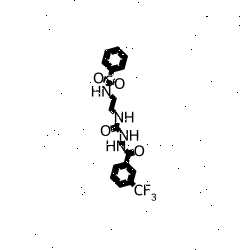 O=C(NCCNS(=O)(=O)c1ccccc1)NNC(=O)c1cccc(C(F)(F)F)c1